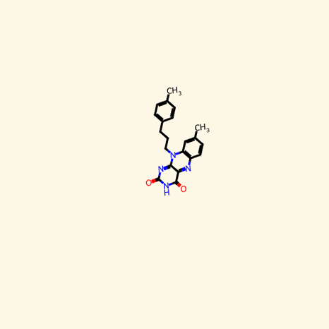 Cc1ccc(CCCn2c3nc(=O)[nH]c(=O)c-3nc3ccc(C)cc32)cc1